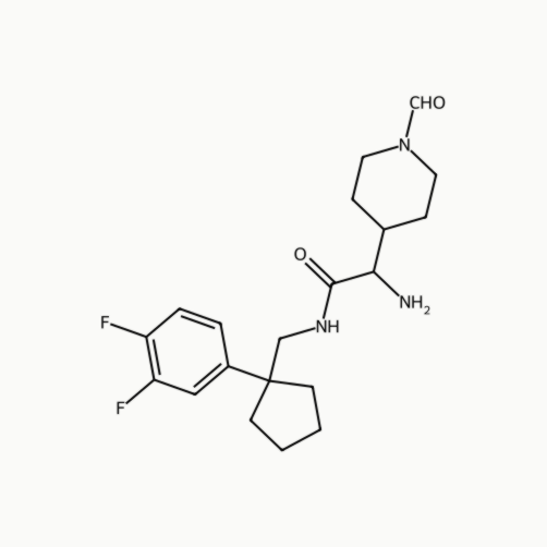 NC(C(=O)NCC1(c2ccc(F)c(F)c2)CCCC1)C1CCN(C=O)CC1